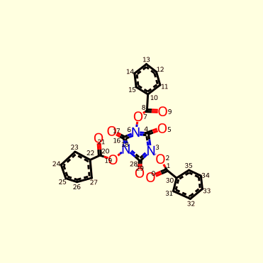 O=C(On1c(=O)n(OC(=O)c2ccccc2)c(=O)n(OC(=O)c2ccccc2)c1=O)c1ccccc1